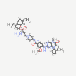 CC[C@@H]1C(=O)N(C)c2cnc(Nc3ccc(C(=O)NC4CCN(CC[C@H](N)C(=O)OC5C[C@H](C)CCC5C(C)C)CC4)cc3OC)nc2N1C1CCCC1